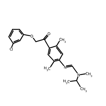 Cc1cc(C(=O)COc2cccc(Cl)c2)c(C)cc1N=CN(C)C(C)C